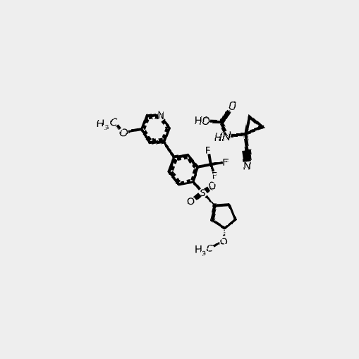 COc1cncc(-c2ccc(S(=O)(=O)[C@H]3CC[C@H](OC)C3)c(C(F)(F)F)c2)c1.N#CC1(NC(=O)O)CC1